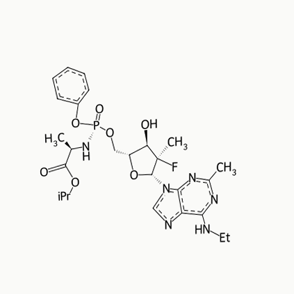 CCNc1nc(C)nc2c1ncn2[C@@H]1O[C@H](CO[P@@](=O)(N[C@H](C)C(=O)OC(C)C)Oc2ccccc2)[C@@H](O)[C@@]1(C)F